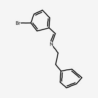 Brc1cccc(C=NCCc2ccccc2)c1